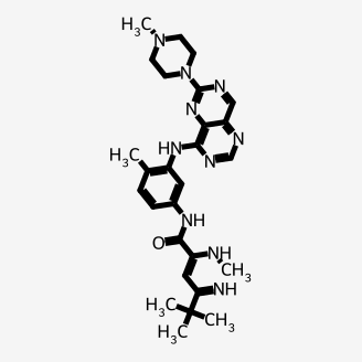 CN/C(=C\C(=N)C(C)(C)C)C(=O)Nc1ccc(C)c(Nc2ncnc3cnc(N4CCN(C)CC4)nc23)c1